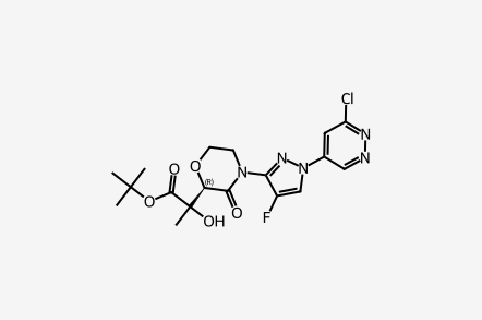 CC(C)(C)OC(=O)C(C)(O)[C@H]1OCCN(c2nn(-c3cnnc(Cl)c3)cc2F)C1=O